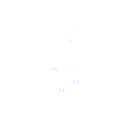 NCC(NC(=O)C(CC(=O)N1CCOCC1)CC1CCCCC1)C(N)=O